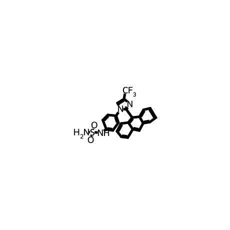 NS(=O)(=O)Nc1ccc(-n2cc(C(F)(F)F)nc2-c2c3ccccc3cc3ccccc23)cc1